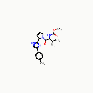 COC(=O)N[C@H](C(=O)N1CC=CC1c1nc(-c2ccc(C)cc2)c[nH]1)C(C)C